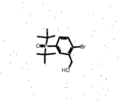 CC(C)(C)P(=O)(c1ccc(Br)c(CO)c1)C(C)(C)C